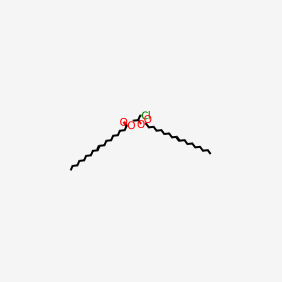 CCCCCCCCC=CCCCCCCCC(=O)OCC(CCl)OC(=O)CCCCCCCC=CCCCCCCCC